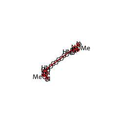 COc1cc2c(cc1-c1c(C)noc1C)ncc1c2n([C@H](C)c2ccccn2)c(=O)n1CC(=O)NCCOCCOCCOCCOCCOCCOCCOCCNC(=O)Cn1c(=O)n([C@H](C)c2ccccn2)c2c3cc(OC)c(-c4c(C)noc4C)cc3ncc21